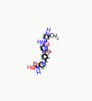 C[C@@H]1CN(C(=O)Nc2ccn(-c3ccc(CN4CCC(NC(=O)O)CC4)cc3)c(=O)n2)CCN1